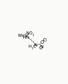 CSC(=C[N+](=O)[O-])NCCCCCCCN(C)CCC(c1ccc(Cl)cc1)c1ccccn1